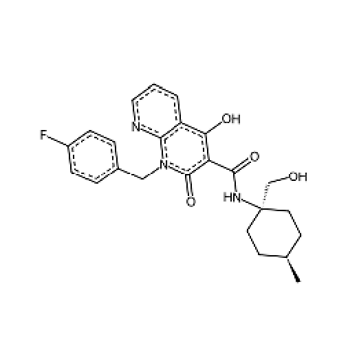 C[C@H]1CC[C@@](CO)(NC(=O)c2c(O)c3cccnc3n(Cc3ccc(F)cc3)c2=O)CC1